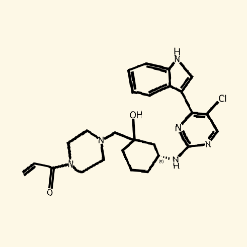 C=CC(=O)N1CCN(CC2(O)CCC[C@@H](Nc3ncc(Cl)c(-c4c[nH]c5ccccc45)n3)C2)CC1